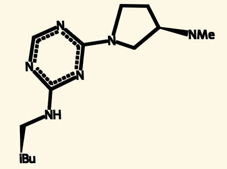 CC[C@H](C)CNc1ncnc(N2CC[C@@H](NC)C2)n1